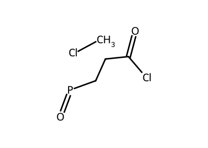 CCl.O=PCCC(=O)Cl